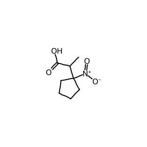 CC(C(=O)O)C1([N+](=O)[O-])CCCC1